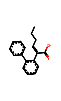 CCCC=C(C(=O)O)c1ccccc1-c1ccccc1